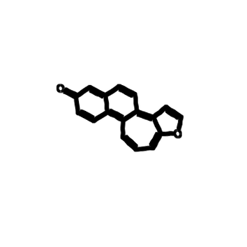 O=c1ccc2c(ccc3c4ccoc4cccc23)c1